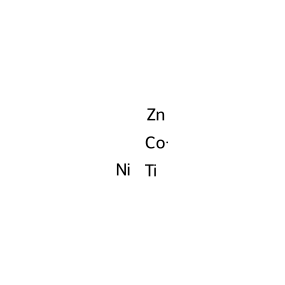 [Co].[Ni].[Ti].[Zn]